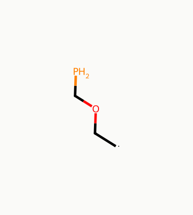 [CH2]COCP